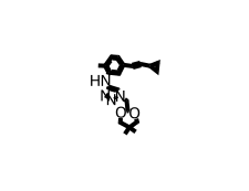 Cc1ccc(C#CC2CC2)cc1Nc1cn(CC2OCC(C)(C)CO2)nn1